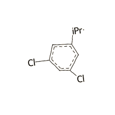 C[C](C)c1cc(Cl)cc(Cl)c1